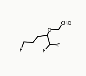 O=CCOC(CCCF)C(F)F